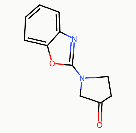 O=C1CCN(c2nc3ccccc3o2)C1